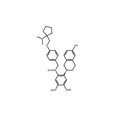 CCN(Cc1ccc(OCC2(N(C)C)CCCC2)cc1)c1cc(OC)c(OC)cc1[C@@H]1CCc2cc(O)ccc2C1